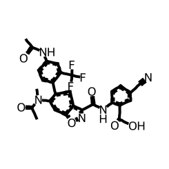 CC(=O)Nc1ccc(-c2cc3c(C(=O)Nc4ccc(C#N)cc4C(=O)O)noc3cc2N(C)C(C)=O)c(C(F)(F)F)c1